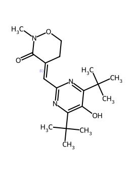 CN1OCC/C(=C\c2nc(C(C)(C)C)c(O)c(C(C)(C)C)n2)C1=O